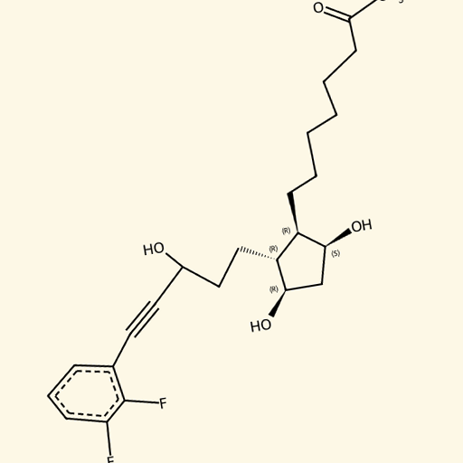 CC(=O)CCCCCC[C@@H]1[C@@H](CCC(O)C#Cc2cccc(F)c2F)[C@H](O)C[C@@H]1O